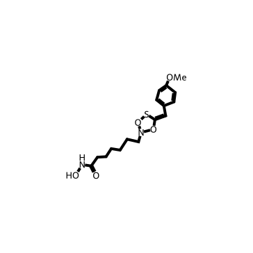 COc1ccc(C=C2ON(CCCCCCC(=O)NO)OS2)cc1